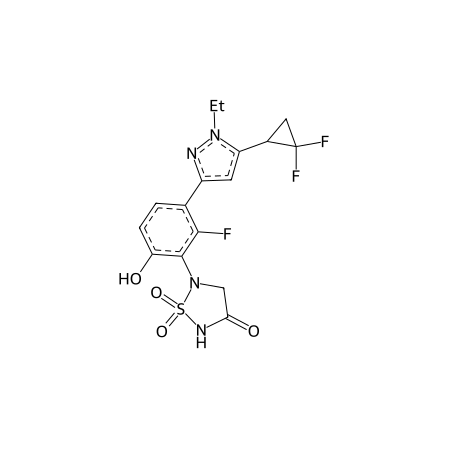 CCn1nc(-c2ccc(O)c(N3CC(=O)NS3(=O)=O)c2F)cc1C1CC1(F)F